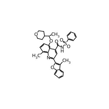 Cc1c(-c2cc(C(=O)NS(=O)(=O)c3ccccc3)c3c(O[C@H](C)C4CCOCC4)ccc(C)c3n2)oc2ccccc12